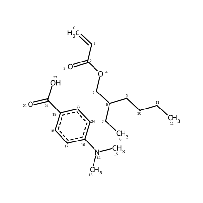 C=CC(=O)OCC(CC)CCCC.CN(C)c1ccc(C(=O)O)cc1